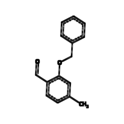 Cc1ccc(C=O)c(OCc2ccccc2)c1